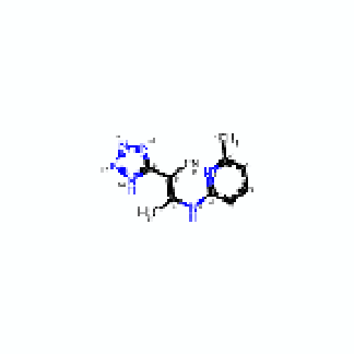 CC(Nc1cccc(C)n1)=C(C#N)c1nnn[nH]1